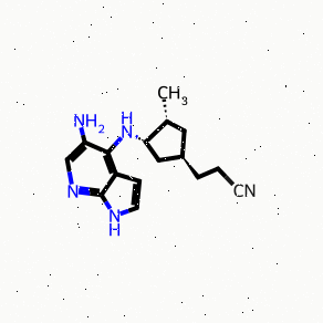 C[C@@H]1C[C@@H](CCC#N)C[C@@H]1Nc1c(N)cnc2[nH]ccc12